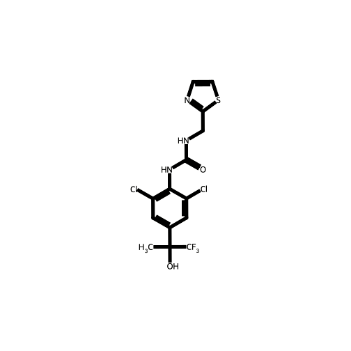 CC(O)(c1cc(Cl)c(NC(=O)NCc2nccs2)c(Cl)c1)C(F)(F)F